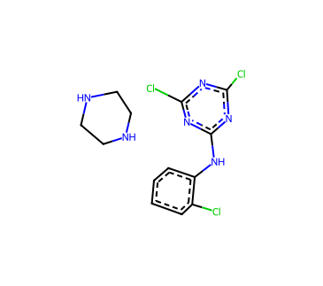 C1CNCCN1.Clc1nc(Cl)nc(Nc2ccccc2Cl)n1